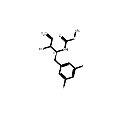 C=CC(O)[C@H](Cc1cc(F)cc(F)c1)NC(=O)OC(C)(C)C